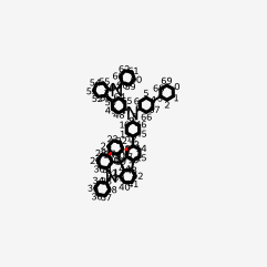 c1ccc(-c2ccc(N(c3ccc(-c4ccc5c(c4)C4(c6ccccc6)c6ccccc6N(c6ccccc6)c6cccc-5c64)cc3)c3ccc4c5ccccc5n(-c5ccccc5)c4c3)cc2)cc1